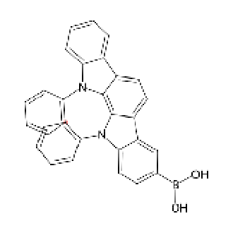 OB(O)c1ccc2c(c1)c1ccc3c4ccccc4n(-c4ccccc4)c3c1n2-c1ccccc1